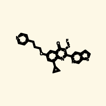 O=c1c2cc(OCCCc3ccncc3)cc(C3CC3)c2nc(-c2cc3ccsc3cn2)n1SF